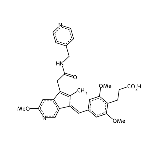 COc1cc2c(cn1)C(=Cc1cc(OC)c(CCC(=O)O)c(OC)c1)C(C)=C2CC(=O)NCc1ccncc1